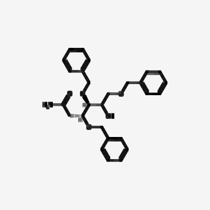 NC(=O)C[C@@H](OCc1ccccc1)[C@@H](OCc1ccccc1)C(O)COCc1ccccc1